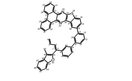 C=C/C=C(/c1cccc(-c2cccc(-c3ccc4sc5nc6c7ccccc7c7ccccc7c6nc5c4c3)c2)c1)c1oc2ccccc2c1C